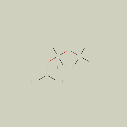 C[SiH](C)O[Si](C)(C)O[Si](C)(C)C